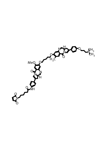 COc1cc2c(cc1OCCCCCOc1cc3c(cc1C)C(=O)N1C=C(c4ccc(OCCCN(C)C)cc4)C[C@H]1C=N3)N=C[C@@H]1CC(c3ccc(NC(=O)CCCCCN4C(=O)C=CC4=O)cc3)=CN1C2=O